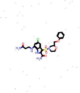 NC(=O)CCNc1cc(Cl)cc2c(S(=O)(=O)N3CCOC(COc4ccccc4)C3)c(C(N)=O)[nH]c12